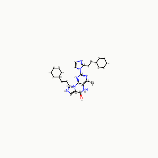 CCc1nc(-n2ccnc2CCC2CCCCC2)nc2c1[nH]c(=O)c1cnc(CCC3CCCCC3)n12